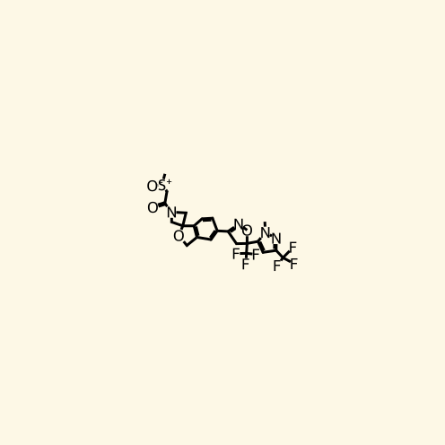 Cn1nc(C(F)(F)F)cc1C1(C(F)(F)F)CC(c2ccc3c(c2)COC32CN(C(=O)C[S+](C)[O-])C2)=NO1